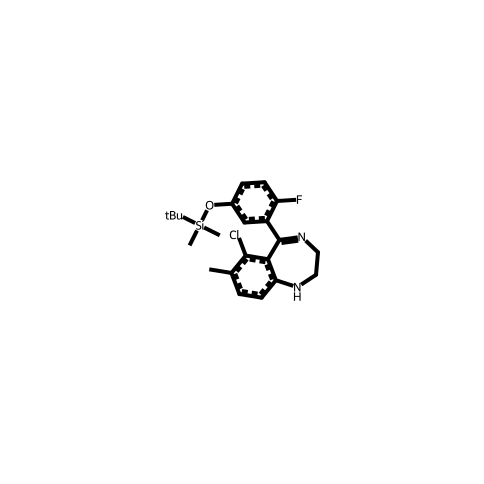 Cc1ccc2c(c1Cl)C(c1cc(O[Si](C)(C)C(C)(C)C)ccc1F)=NCCN2